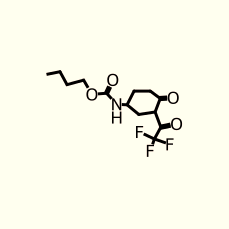 CCCCOC(=O)NC1CCC(=O)C(C(=O)C(F)(F)F)C1